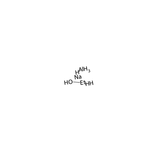 CCO.[AlH3].[HH].[NaH]